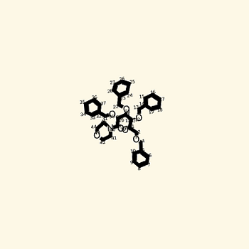 O=C(COCc1ccccc1)[C@@H](OCc1ccccc1)[C@H](OCc1ccccc1)[C@@H](OCc1ccccc1)C(=O)N1CCOCC1